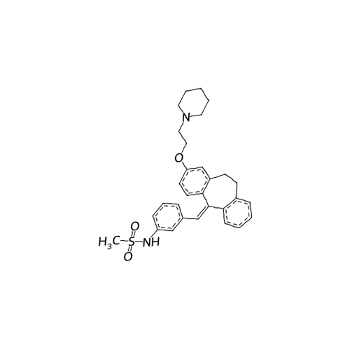 CS(=O)(=O)Nc1cccc(C=C2c3ccccc3CCc3cc(OCCN4CCCCC4)ccc32)c1